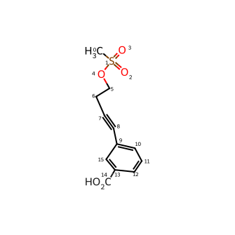 CS(=O)(=O)OCCC#Cc1cccc(C(=O)O)c1